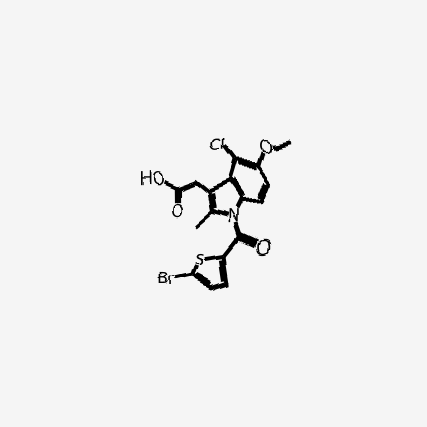 COc1ccc2c(c1Cl)c(CC(=O)O)c(C)n2C(=O)c1ccc(Br)s1